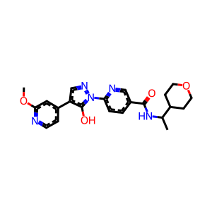 COc1cc(-c2cnn(-c3ccc(C(=O)NC(C)C4CCOCC4)cn3)c2O)ccn1